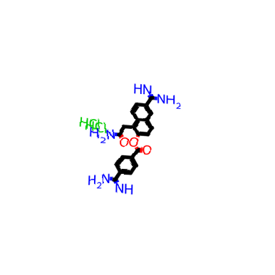 Cl.Cl.N=C(N)c1ccc(C(=O)Oc2ccc3cc(C(=N)N)ccc3c2CC(N)=O)cc1